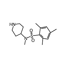 Cc1cc(C)c(S(=O)(=O)N(C)C2CCNCC2)c(C)c1